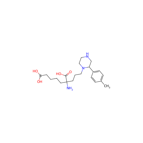 Cc1ccc(C2CNCCN2CCCC(N)(CCCCB(O)O)C(=O)O)cc1